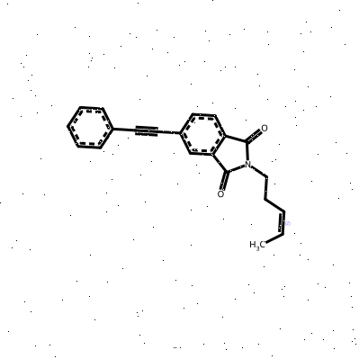 C/C=C\CCN1C(=O)c2ccc(C#Cc3ccccc3)cc2C1=O